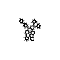 C1=CC2=C(CC1)c1ccccc1C21c2ccccc2-c2ccc(N(c3ccc(-c4ccccc4)cc3)c3ccc(-c4ccccc4)c(-c4ccccc4)c3)cc21